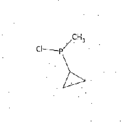 CP(Cl)C1CC1